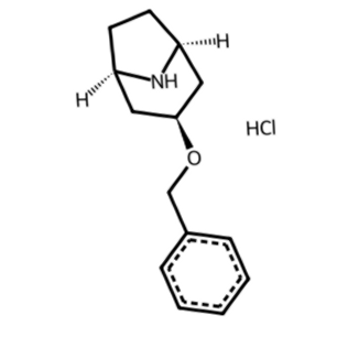 Cl.c1ccc(CO[C@H]2C[C@H]3CC[C@@H](C2)N3)cc1